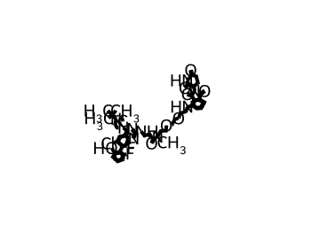 CN(CCOCCOCCNc1cccc2c1C(=O)N(C1CCC(=O)NC1=O)C2=O)C(=O)CCNc1nc(N2CCN(C(C)(C)C)CC2)c2cc(Cl)c(-c3c(O)cccc3F)c(F)c2n1